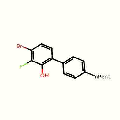 CCCCCc1ccc(-c2ccc(Br)c(F)c2O)cc1